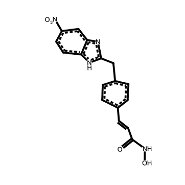 O=C(/C=C/c1ccc(Cc2nc3cc([N+](=O)[O-])ccc3[nH]2)cc1)NO